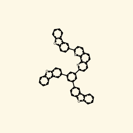 c1ccc2c(c1)oc1ccc(-c3cc(-c4ccc5oc6ccccc6c5c4)cc(-c4ccc5ccc6ccc(-c7ccc8oc9ccccc9c8c7)nc6c5n4)c3)cc12